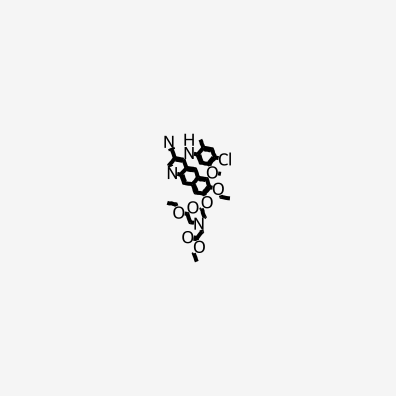 CCOC(=O)CN(CCOc1cc2cc3ncc(C#N)c(Nc4cc(OC)c(Cl)cc4C)c3cc2cc1OCC)CC(=O)OCC